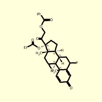 CCC(=O)O[C@]1(C(=O)COC(=O)C(C)C)CC[C@H]2[C@@H]3CC(F)C4=CC(=O)C=C[C@]4(C)[C@]34OC4C[C@@]21C